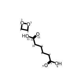 C1COO1.O=C(O)CCCCC(=O)O